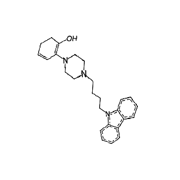 OC1=C(N2CCN(CCCCn3c4ccccc4c4ccccc43)CC2)C=CCC1